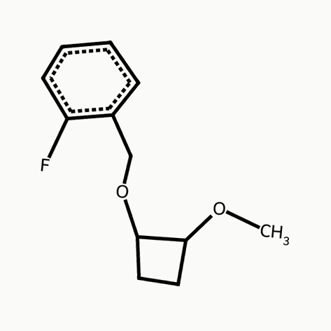 COC1CCC1OCc1ccccc1F